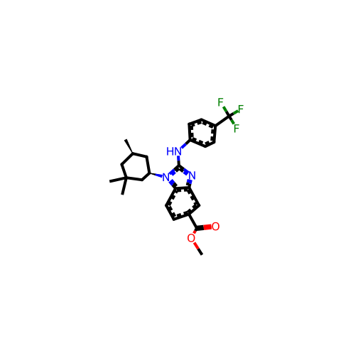 COC(=O)c1ccc2c(c1)nc(Nc1ccc(C(F)(F)F)cc1)n2[C@@H]1C[C@H](C)CC(C)(C)C1